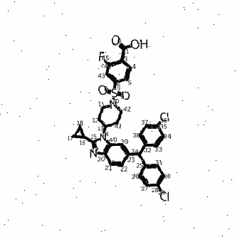 O=C(O)c1ccc(S(=O)(=O)N2CCC(n3c(C4CC4)nc4ccc(C(c5ccc(Cl)cc5)c5ccc(Cl)cc5)cc43)CC2)cc1F